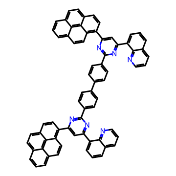 c1cnc2c(-c3cc(-c4ccc5ccc6cccc7ccc4c5c67)nc(-c4ccc(-c5ccc(-c6nc(-c7ccc8ccc9cccc%10ccc7c8c9%10)cc(-c7cccc8cccnc78)n6)cc5)cc4)n3)cccc2c1